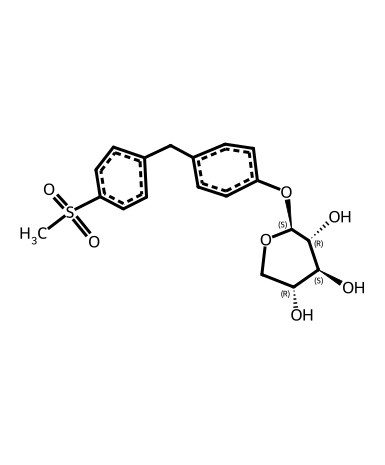 CS(=O)(=O)c1ccc(Cc2ccc(O[C@@H]3OC[C@@H](O)[C@H](O)[C@H]3O)cc2)cc1